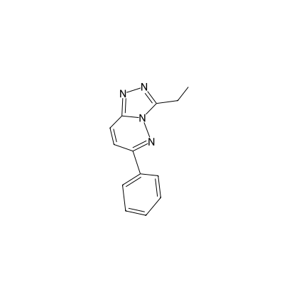 CCc1nnc2ccc(-c3ccccc3)nn12